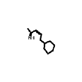 CC(=N)/C=C\CC1CCCCC1